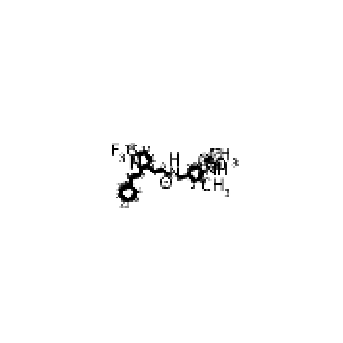 Cc1cc(CNC(=O)C=Cc2ccc(C(F)(F)F)nc2C=Cc2ccccc2)ccc1NS(C)(=O)=O